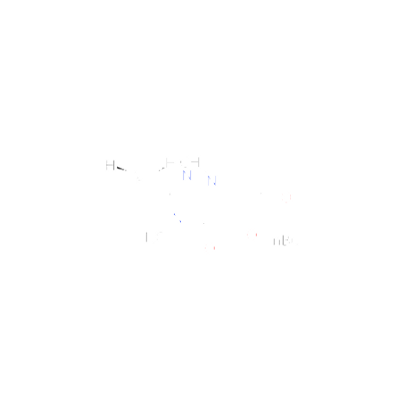 CCCCOc1c2n(ccc1=O)N(C)C1(CC[C@@H]3C[C@@H]31)N(C)C2=O